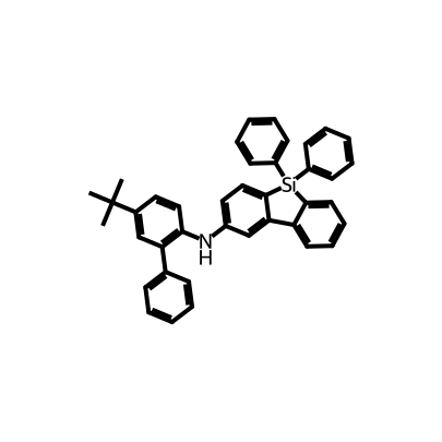 CC(C)(C)c1ccc(Nc2ccc3c(c2)-c2ccccc2[Si]3(c2ccccc2)c2ccccc2)c(-c2ccccc2)c1